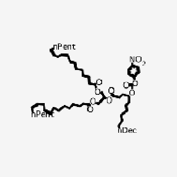 CCCCC/C=C\C/C=C\CCCCCCCC(=O)OCC(COC(=O)CCCCCCC/C=C\C/C=C\CCCCC)OC(=O)CCC(CCCCCCCCCCCCCCCC)OC(=O)Oc1ccc([N+](=O)[O-])cc1